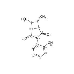 CC1C(C)C2C(=O)N(c3ccccc3O)C(=O)C12